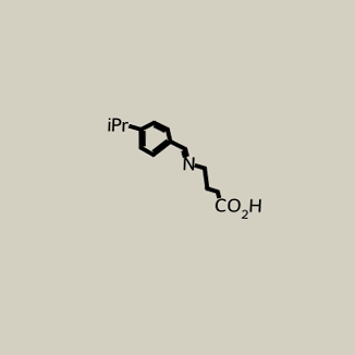 CC(C)c1ccc(C=NCCCC(=O)O)cc1